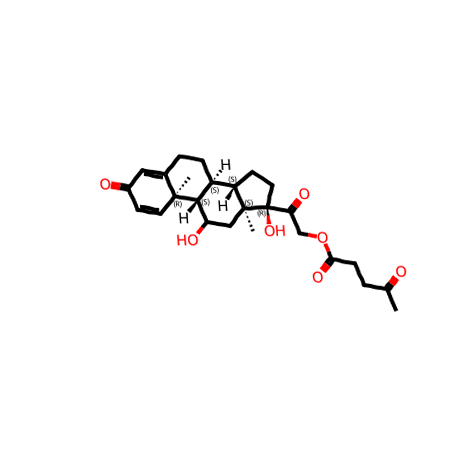 CC(=O)CCC(=O)OCC(=O)[C@@]1(O)CC[C@H]2[C@@H]3CCC4=CC(=O)C=C[C@]4(C)[C@H]3C(O)C[C@@]21C